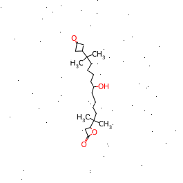 CC(C)(CCCCC(O)CCCCC(C)(C)C1CC(=O)O1)C1CC(=O)C1